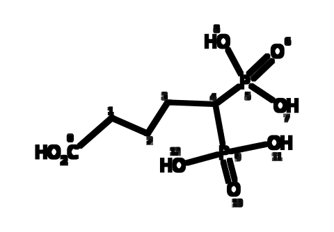 O=C(O)CCCC(P(=O)(O)O)P(=O)(O)O